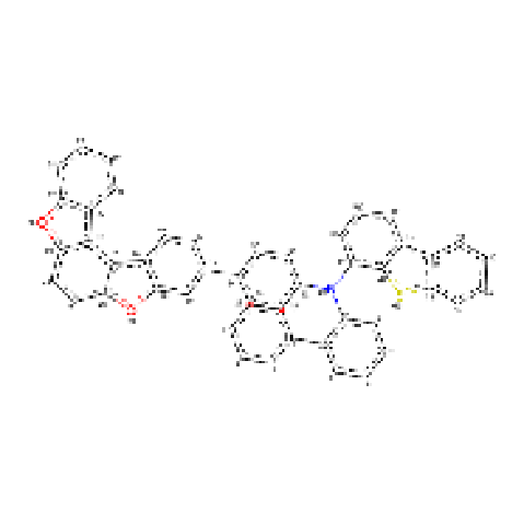 c1ccc(-c2ccccc2N(c2ccc(-c3ccc4c(c3)oc3ccc5oc6ccccc6c5c34)cc2)c2cccc3c2sc2ccccc23)cc1